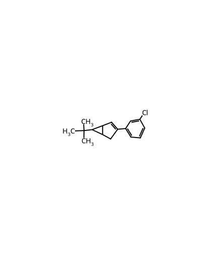 CC(C)(C)C1C2C=C(c3cccc(Cl)c3)CC21